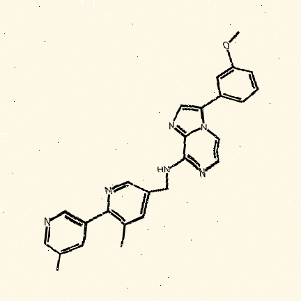 COc1cccc(-c2cnc3c(NCc4cnc(-c5cncc(C)c5)c(C)c4)nccn23)c1